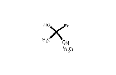 CCC(C)(O)O.O